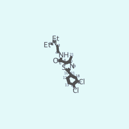 CCN(CC)CCNC(=O)c1sc(-c2ccc(Cl)c(Cl)c2)nc1C